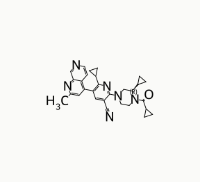 Cc1cc(-c2cc(C#N)c(N3CCN(C(=O)C4CC4)[C@H](C4CC4)C3)nc2C2CC2)c2ccncc2n1